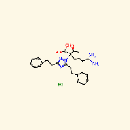 CC(=O)C(CCCC(N)N)(B(O)O)n1nc(CCc2ccccc2)nc1CCc1ccccc1.Cl